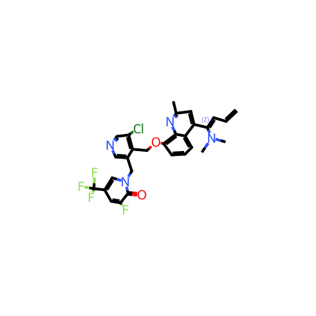 C=C/C=C(/c1cc(C)nc2c(OCc3c(Cl)cncc3Cn3cc(C(F)(F)F)cc(F)c3=O)cccc12)N(C)C